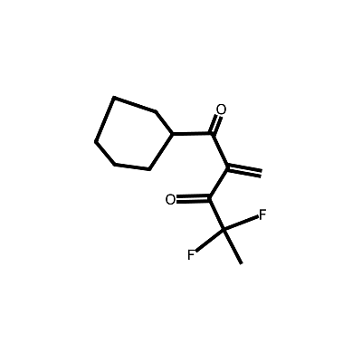 C=C(C(=O)C1CCCCC1)C(=O)C(C)(F)F